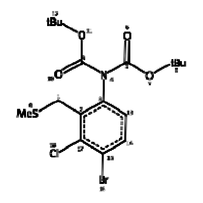 CSCc1c(N(C(=O)OC(C)(C)C)C(=O)OC(C)(C)C)ccc(Br)c1Cl